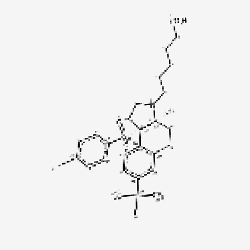 O=C(O)CCCCCN1CC[C@]2(S(=O)(=O)c3ccc(F)cc3)c3ccc(C(F)(C(F)(F)F)C(F)(F)F)cc3CC[C@H]12